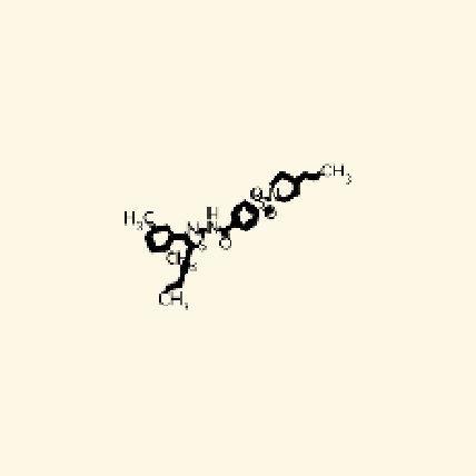 CCCC#Cc1sc(NC(=O)c2ccc(S(=O)(=O)N3CCC(CCC)CC3)cc2)nc1-c1cc(C)ccc1C